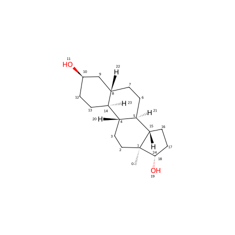 C[C@]12CC[C@H]3[C@@H](CC[C@H]4C[C@H](O)CC[C@@H]43)[C@@H]1CC[C@@H]2O